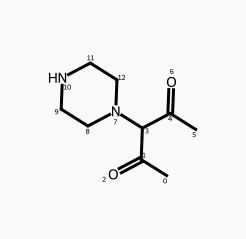 CC(=O)C(C(C)=O)N1CCNCC1